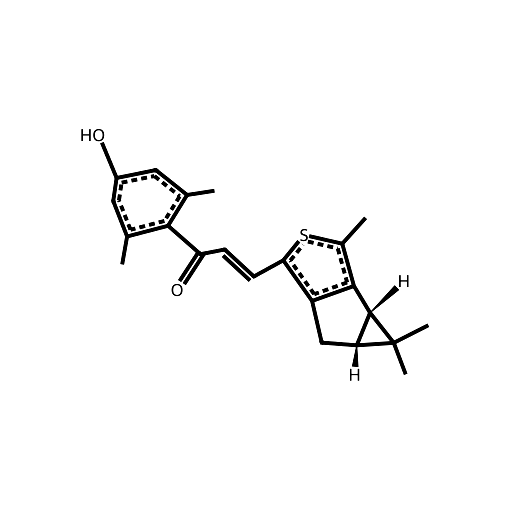 Cc1cc(O)cc(C)c1C(=O)C=Cc1sc(C)c2c1C[C@@H]1[C@H]2C1(C)C